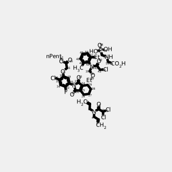 C=CCN(CC=C)C(=O)C(Cl)Cl.CCCCCOC(=O)COc1cc(N2C(=O)C3=C(CCCC3)C2=O)c(F)cc1Cl.CCOCN(C(=O)CCl)c1c(C)cccc1CC.O=C(O)CNCP(=O)(O)O